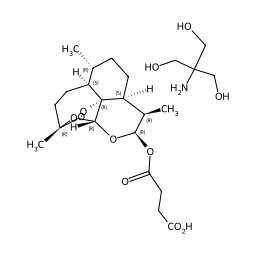 C[C@H]1[C@@H](OC(=O)CCC(=O)O)O[C@@H]2O[C@@]3(C)CC[C@H]4[C@H](C)CC[C@@H]1[C@@]24OO3.NC(CO)(CO)CO